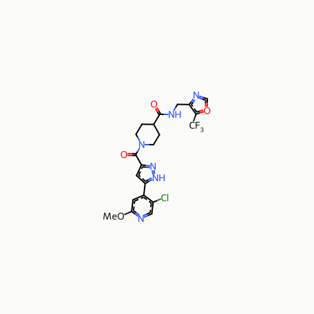 COc1cc(-c2cc(C(=O)N3CCC(C(=O)NCc4ncoc4C(F)(F)F)CC3)n[nH]2)c(Cl)cn1